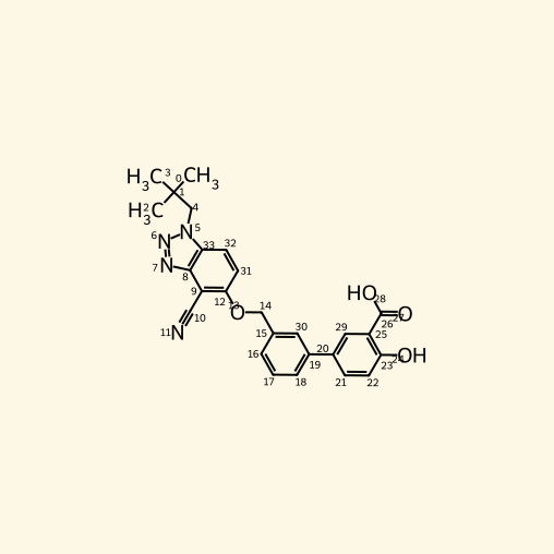 CC(C)(C)Cn1nnc2c(C#N)c(OCc3cccc(-c4ccc(O)c(C(=O)O)c4)c3)ccc21